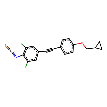 Fc1cc(C#Cc2ccc(OCC3CC3)cc2)cc(F)c1N=C=S